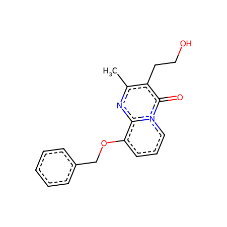 Cc1nc2c(OCc3ccccc3)cccn2c(=O)c1CCO